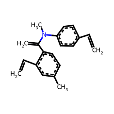 C=Cc1ccc(N(C)C(=C)c2ccc(C)cc2C=C)cc1